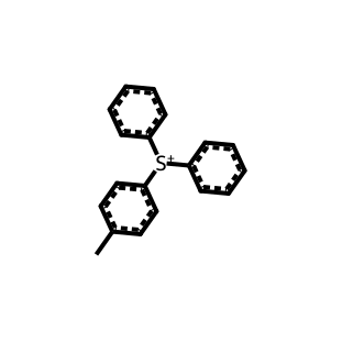 Cc1ccc([S+](c2ccccc2)c2ccccc2)cc1